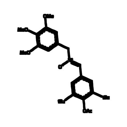 COc1cc(C[N+]([O-])=Cc2cc(C(C)(C)C)c(OC(C)=O)c(C(C)(C)C)c2)cc(OC)c1OC